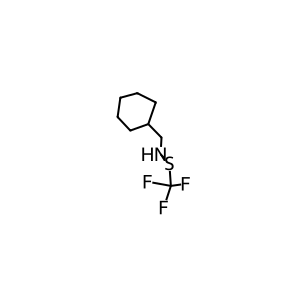 FC(F)(F)SNCC1CCCCC1